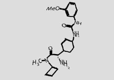 COc1cccc(NC(=O)NC2CCC([C@H](N)C(=O)N(C)C3CCC3)CC2)c1